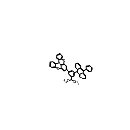 CC(C)c1cc(-c2cc3c4c(c2)Sc2ccccc2B4c2ccccc2S3)cc(-c2c3ccccc3c(-c3ccccc3)c3ccccc23)c1